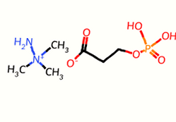 C[N+](C)(C)N.O=C([O-])CCOP(=O)(O)O